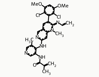 C=C/N=c1/c(-c2c(Cl)c(OC)cc(OC)c2Cl)cc2cnc(Nc3c(C)cncc3NC(=O)C(=C)C)cc2n1C